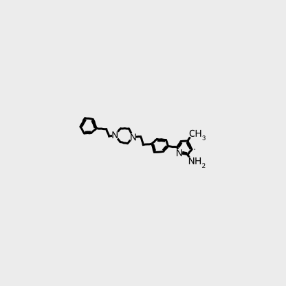 Cc1[c]c(N)nc(-c2ccc(CCN3CCN(CCc4ccccc4)CC3)cc2)c1